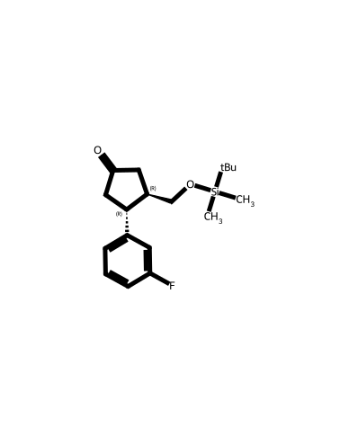 CC(C)(C)[Si](C)(C)OC[C@@H]1CC(=O)C[C@H]1c1cccc(F)c1